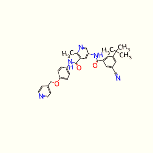 Cc1ncc(NC(=O)c2cc(C#N)cc(C(C)(C)C)c2)cc1C(=O)Nc1ccc(OCc2ccncc2)cc1